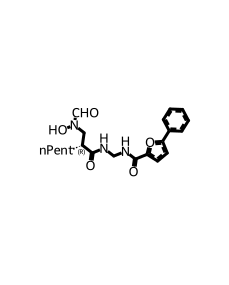 CCCCC[C@H](CN(O)C=O)C(=O)NCNC(=O)c1ccc(-c2ccccc2)o1